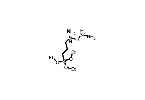 CCO[Si](CCC[SiH](N)O[SiH2]N)(OCC)OCC